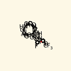 C[C@H]1C[C@H]2C(=O)O[C@@H](C)C(NC(=O)[C@H](Cc3cc(F)cc(F)c3)NC(=O)Nc3ccc(OC(F)(F)F)cc3)C(=O)N3CCC[C@H]3C(=O)N3CCCC[C@H]3C(=O)N[C@@H](C)C(=O)N2C1